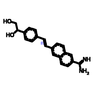 N=C(N)c1ccc2cc(/C=C/c3ccc(C(O)CO)cc3)ccc2c1